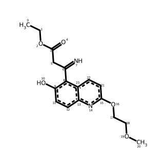 CCOC(=O)CC(=N)c1c(O)ccc2nc(OCCOC)ccc12